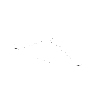 CCCCCCCC/C=C\CCCCCCCCOS(=O)(=O)OCCCCCCCC/C=C\CCCCCCCC.OCCNCCO